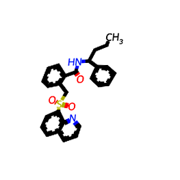 CCCC(NC(=O)c1ccccc1CS(=O)(=O)c1cccc2cccnc12)c1ccccc1